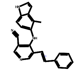 Cc1c(Nc2c(C#N)cncc2/C=C/c2ccccc2)ccc2[nH]ccc12